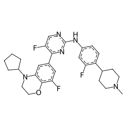 CN1CCC(c2ccc(Nc3ncc(F)c(-c4cc(F)c5c(c4)N(C4CCCC4)CCO5)n3)cc2F)CC1